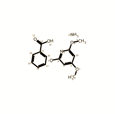 COc1cc([O])nc(OC)c1.N.O=C(O)c1ccccc1